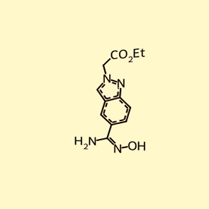 CCOC(=O)Cn1cc2cc(/C(N)=N\O)ccc2n1